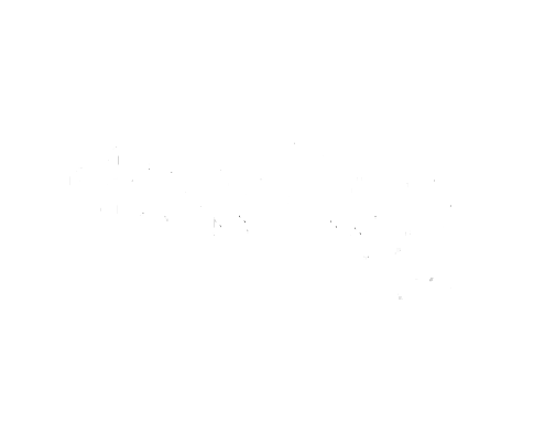 C[C@@H](Oc1cccc(-c2nnc(-c3cccc(-c4nnc(C5=CC=C(C(C)(C)C)CC5)o4)c3)o2)c1)C1CCCC1